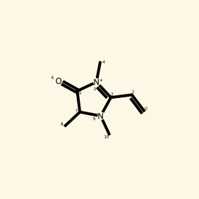 C=CC1=[N+](C)C(=O)C(C)N1C